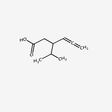 C=C=CC(CC(=O)O)C(C)C